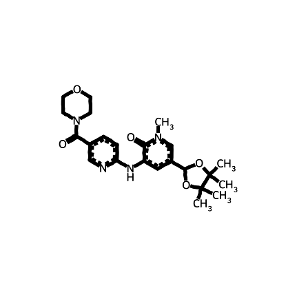 Cn1cc(C2OC(C)(C)C(C)(C)O2)cc(Nc2ccc(C(=O)N3CCOCC3)cn2)c1=O